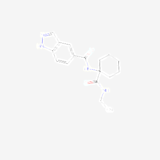 N#CCNC(=O)C1(NC(=O)c2ccc3[nH]ncc3c2)CCCCC1